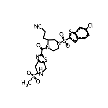 CS(=O)(=O)C1Cc2nc(C(=O)N3CCN(S(=O)(=O)c4cc5ccc(Cl)cc5s4)CC3CCC#N)sc2CN1